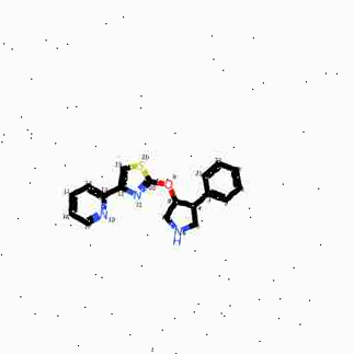 c1ccc(C2CNCC2Oc2nc(-c3ccccn3)cs2)cc1